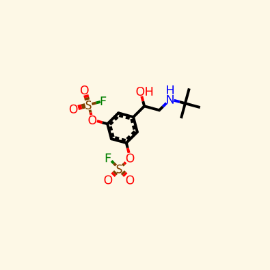 CC(C)(C)NCC(O)c1cc(OS(=O)(=O)F)cc(OS(=O)(=O)F)c1